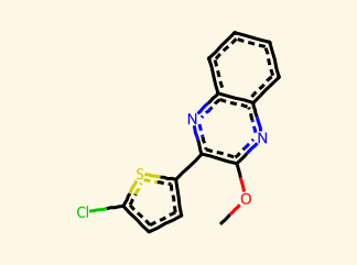 COc1nc2ccccc2nc1-c1ccc(Cl)s1